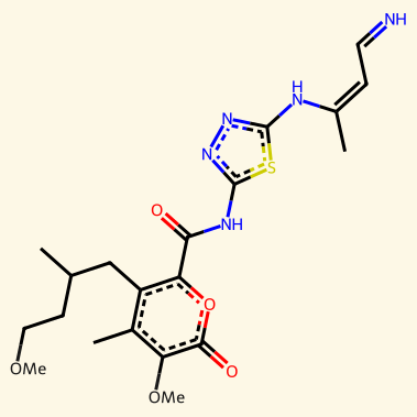 COCCC(C)Cc1c(C(=O)Nc2nnc(N/C(C)=C\C=N)s2)oc(=O)c(OC)c1C